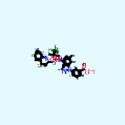 Cc1cc(NCC(O)(CN2c3ccccc3CCC2C)C(F)(F)F)c2cnn(-c3cccc(C(=O)O)c3)c2c1